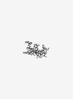 CCCC[C@H](NC(=O)[C@H](CC(C)C)NC(=O)[C@@H](NC(=O)[C@H](Cc1ccccc1C)NC(=O)[C@H](NC(=O)[C@H](CC(=O)O)NC(=O)CCC(=O)O)C(C)C)C(C)(C)C)C(=O)C(N)=O